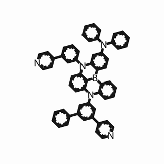 c1ccc(-c2cc(-c3ccncc3)cc(N3c4ccccc4B4c5ccc(N(c6ccccc6)c6ccccc6)cc5N(c5cccc(-c6ccncc6)c5)c5cccc3c54)c2)cc1